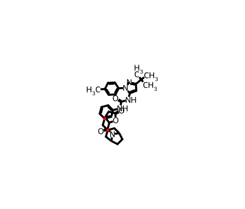 Cc1ccc(-n2nc(C(C)(C)C)cc2NC(=O)Nc2cccc(CC3CC4CCC(C3)N4C(=O)C3CCC(=O)O3)c2)cc1